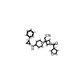 N#CCC1(N2CCC(N[C@@H]3C[C@H]3c3ccccc3)CC2)CN(C(=O)C2CCOC2)C1